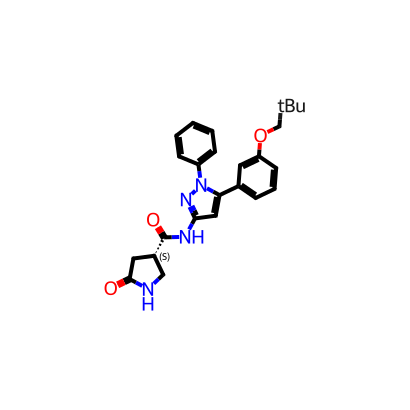 CC(C)(C)COc1cccc(-c2cc(NC(=O)[C@@H]3CNC(=O)C3)nn2-c2ccccc2)c1